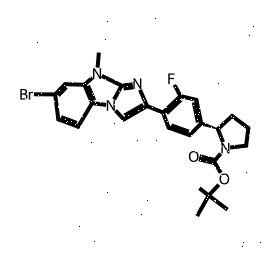 Cn1c2cc(Br)ccc2n2cc(-c3ccc([C@H]4CCCN4C(=O)OC(C)(C)C)cc3F)nc12